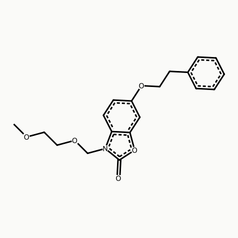 COCCOCn1c(=O)oc2cc(OCCc3ccccc3)ccc21